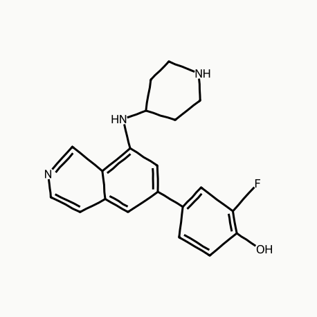 Oc1ccc(-c2cc(NC3CCNCC3)c3cnccc3c2)cc1F